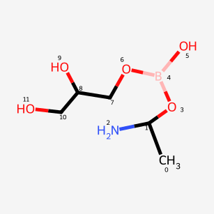 CC(N)OB(O)OCC(O)CO